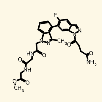 COC(=O)CNC(=O)CNC(=O)Cn1nc(C)c2c(-c3cc4c(cnn4C(=O)CCC(N)=O)cc3F)cccc21